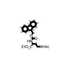 CCOC(=O)[C@H](CCNC(C)=O)NC(=O)OCC1c2ccccc2-c2ccccc21